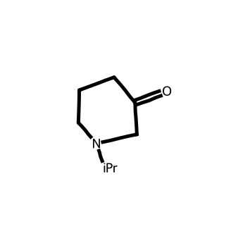 CC(C)N1CCCC(=O)C1